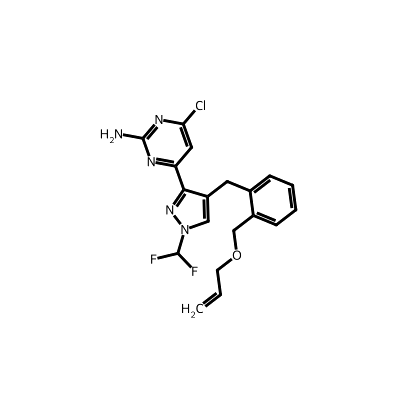 C=CCOCc1ccccc1Cc1cn(C(F)F)nc1-c1cc(Cl)nc(N)n1